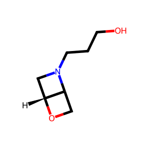 OCCCN1C[C@H]2OCC21